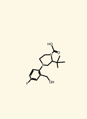 CC(C)(C)C1CN(c2ccc(F)cc2CO)CCN1C(=O)O